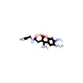 C#CCNC(=O)Cc1c(C)c2cc(S(=O)(=O)O)c(N)cc2oc1=O